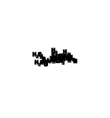 CCCCN(C)C(=O)/C=C/c1cc(C)c(Oc2ccnc(Nc3ccc(C#N)cc3)n2)c(C)c1